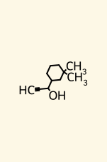 C#CC(O)C1CCCC(C)(C)C1